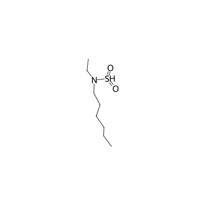 CCCCCCN(CC)[SH](=O)=O